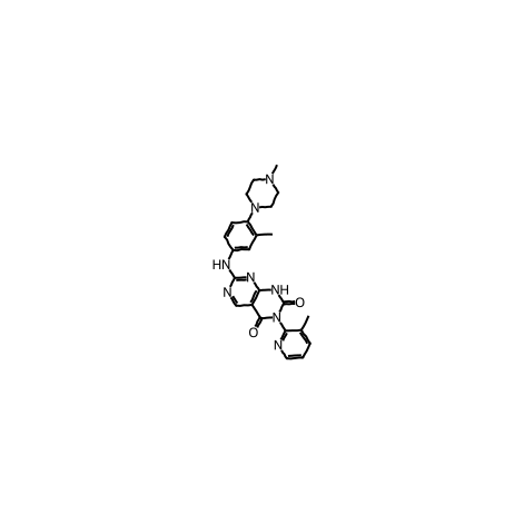 Cc1cc(Nc2ncc3c(=O)n(-c4ncccc4C)c(=O)[nH]c3n2)ccc1N1CCN(C)CC1